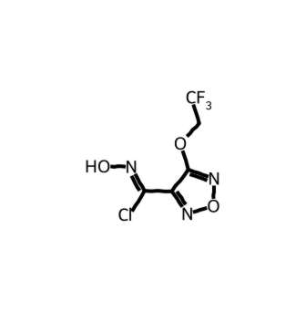 ON=C(Cl)c1nonc1OCC(F)(F)F